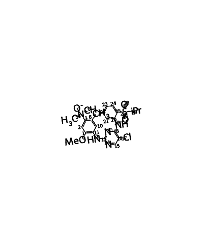 COc1cc([N+](C)(C)[O-])c(C)cc1Nc1ncc(Cl)c(Nc2ccccc2S(=O)(=O)C(C)C)n1